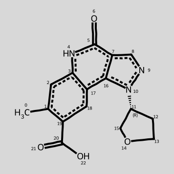 Cc1cc2[nH]c(=O)c3cnn([C@@H]4CCOC4)c3c2cc1C(=O)O